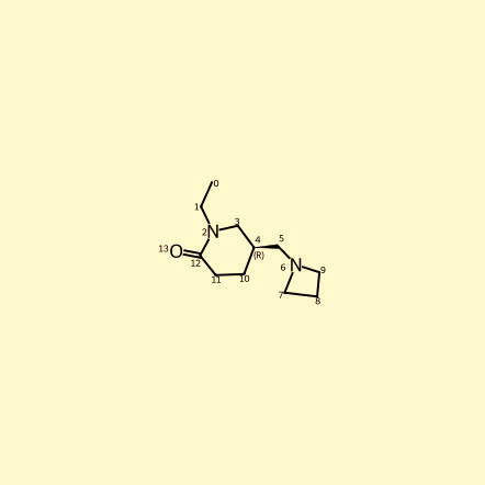 CCN1C[C@@H](CN2CCC2)CCC1=O